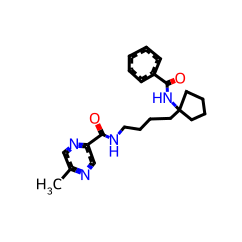 Cc1cnc(C(=O)NCCCCC2(NC(=O)c3ccccc3)CCCC2)cn1